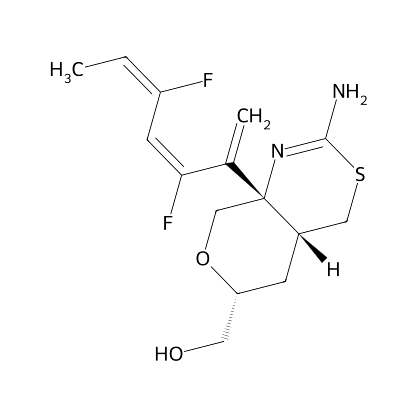 C=C(/C(F)=C\C(F)=C/C)[C@]12CO[C@@H](CO)C[C@H]1CSC(N)=N2